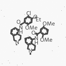 CCOc1cc(OC)c(C(=O)Nc2cccc3c2CCN(C)C3)cc1Cl.COc1ccc(OC)c(C(=O)Nc2cccc3c2CCN(C)C3)c1